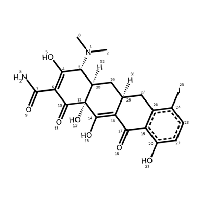 CN(C)[C@H]1C(O)=C(C(N)=O)C(=O)[C@]2(O)C(O)=C3C(=O)c4c(O)ccc(I)c4C[C@@H]3C[C@H]12